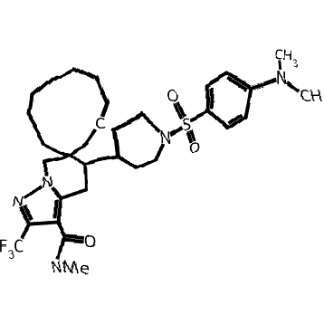 CNC(=O)c1c(C(F)(F)F)nn2c1CC(C1CCN(S(=O)(=O)c3ccc(N(C)C)cc3)CC1)C1(CCCCCCCCC1)C2